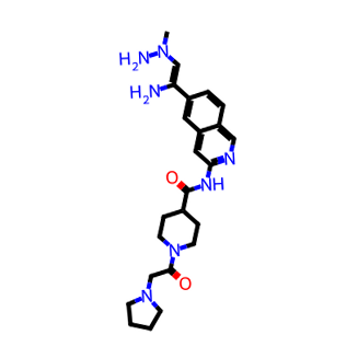 CN(N)/C=C(\N)c1ccc2cnc(NC(=O)C3CCN(C(=O)CN4CCCC4)CC3)cc2c1